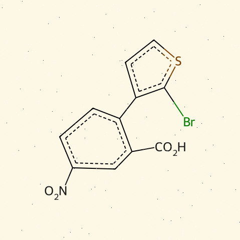 O=C(O)c1cc([N+](=O)[O-])ccc1-c1ccsc1Br